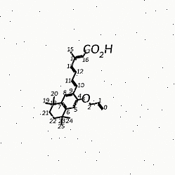 C=CCOc1cc2c(cc1C=CC=CC(C)=CC(=O)O)C(C)(C)CCC2(C)C